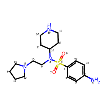 Nc1ccc(S(=O)(=O)N(CCN2CCCC2)C2CCNCC2)cc1